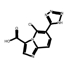 O=C(O)c1cnc2ccc(-c3nnn[nH]3)c(Cl)n12